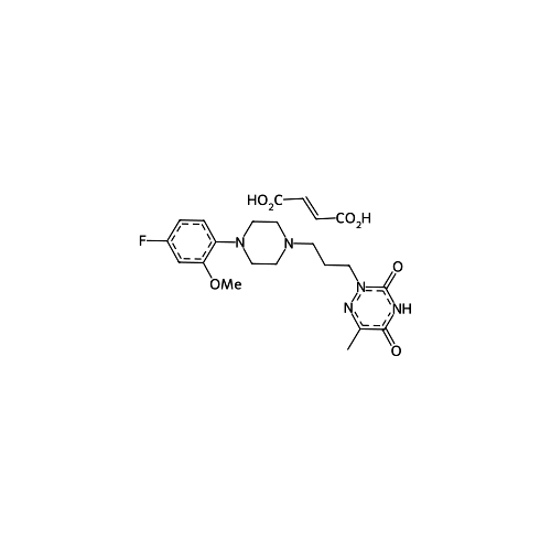 COc1cc(F)ccc1N1CCN(CCCn2nc(C)c(=O)[nH]c2=O)CC1.O=C(O)C=CC(=O)O